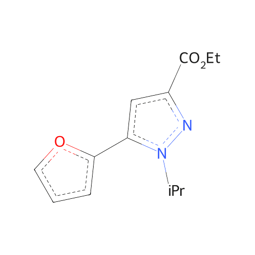 CCOC(=O)c1cc(-c2ccco2)n(C(C)C)n1